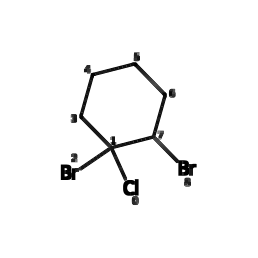 ClC1(Br)CCCCC1Br